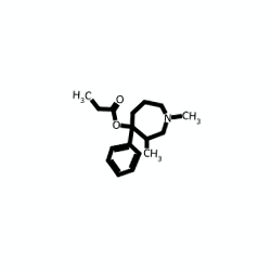 CCC(=O)OC1(c2ccccc2)CCCN(C)CC1C